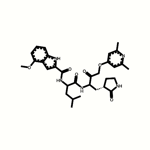 COc1cccc2[nH]c(C(=O)NC(CC(C)C)C(=O)NC(C[C@@H]3CCNC3=O)C(=O)COc3cc(C)nc(C)c3)cc12